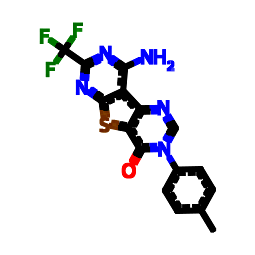 Cc1ccc(-n2cnc3c(sc4nc(C(F)(F)F)nc(N)c43)c2=O)cc1